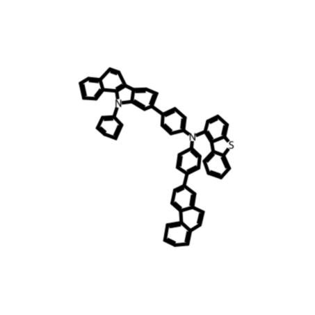 c1ccc(-n2c3cc(-c4ccc(N(c5ccc(-c6ccc7c(ccc8ccccc87)c6)cc5)c5cccc6sc7ccccc7c56)cc4)ccc3c3ccc4ccccc4c32)cc1